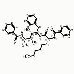 CCCCCC[C@@H](NC(=O)c1cccnc1)C(=O)N[C@H](Cc1ccccc1)[C@@H](O)[C@H](O)[C@H](C)NC(=O)c1ccccc1